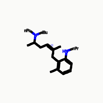 CCCNc1cccc(C)c1C/C(C)=C\CC(C)N(CCC)C(C)CC